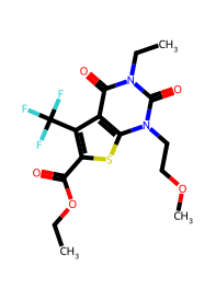 CCOC(=O)c1sc2c(c1C(F)(F)F)c(=O)n(CC)c(=O)n2CCOC